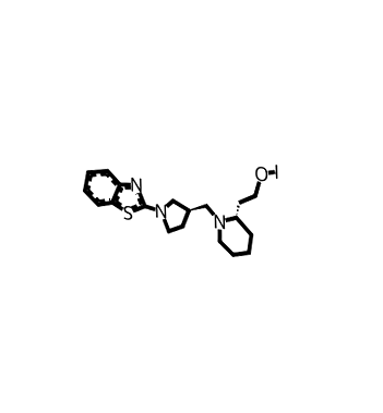 IOCC[C@@H]1CCCCN1C[C@H]1CCN(c2nc3ccccc3s2)C1